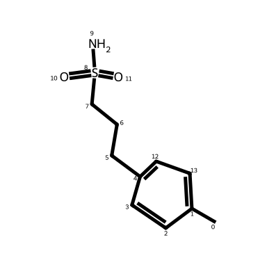 Cc1ccc(CCCS(N)(=O)=O)cc1